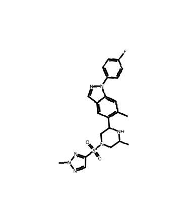 Cc1cc2c(cnn2-c2ccc(F)cc2)cc1C1CN(S(=O)(=O)c2cnn(C)n2)CC(C)N1